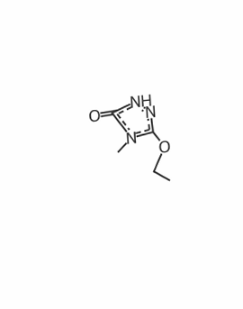 CCOc1n[nH]c(=O)n1C